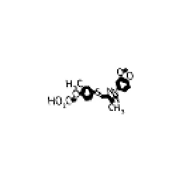 Cc1cc(SCc2nn(-c3ccc4c(c3)OCO4)nc2C)ccc1OCC(=O)O